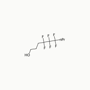 CCCC(F)(F)C(F)(F)C(F)(F)CCCO